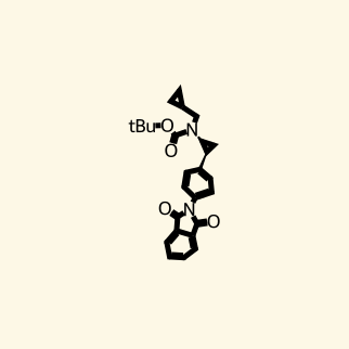 CC(C)(C)OC(=O)N(CC1CC1)[C@@H]1C[C@H]1c1ccc(N2C(=O)c3ccccc3C2=O)cc1